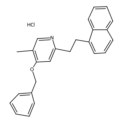 Cc1cnc(CCc2cccc3ccccc23)cc1OCc1ccccc1.Cl